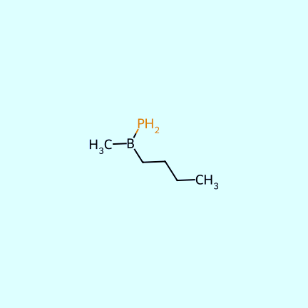 CCCCB(C)P